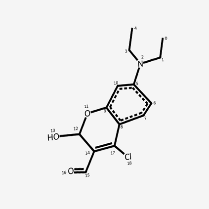 CCN(CC)c1ccc2c(c1)OC(O)C(C=O)=C2Cl